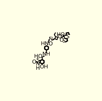 CCC1/C(=C\N(C)CC(=O)Nc2ccc(CNC[C@H](O)c3ccc(O)c4[nH]c(=O)sc34)cc2)CC1OC(=O)C(O)(c1cccs1)c1cccs1